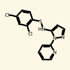 Clc1ccc(SNc2ccnn2-c2ccccn2)c(Cl)c1